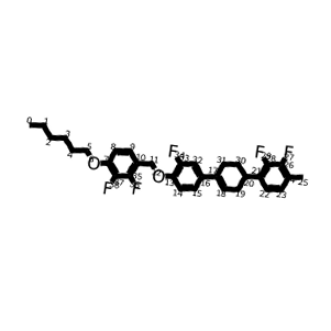 CCCCCCOc1ccc(COc2ccc(C3=CCC(c4ccc(C)c(F)c4F)CC3)cc2F)c(F)c1F